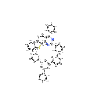 c1ccc(-c2cc(-c3ccccc3)cc(-c3cccc(-c4cccc(-c5nc(-c6ccccc6)c6ccc7c8ccccc8sc7c6n5)c4)c3)c2)cc1